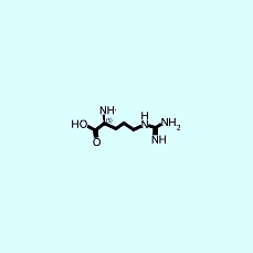 [NH][C@@H](CCCNC(=N)N)C(=O)O